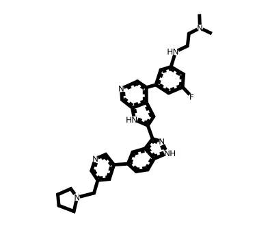 CN(C)CCNc1cc(F)cc(-c2cncc3[nH]c(-c4n[nH]c5ccc(-c6cncc(CN7CCCC7)c6)cc45)cc23)c1